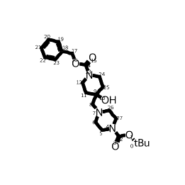 CC(C)(C)OC(=O)N1CCN(CC2(O)CCN(C(=O)OCc3ccccc3)CC2)CC1